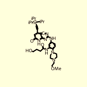 COCCN1CCN(c2ccc(Nc3ncc4c(C#C[Si](C(C)C)(C(C)C)C(C)C)cc(=O)[nH]c4n3)cc2NC(=O)CCCO)CC1